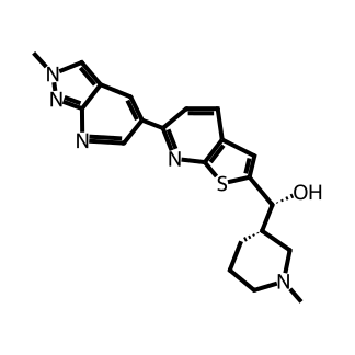 CN1CCC[C@H]([C@@H](O)c2cc3ccc(-c4cnc5nn(C)cc5c4)nc3s2)C1